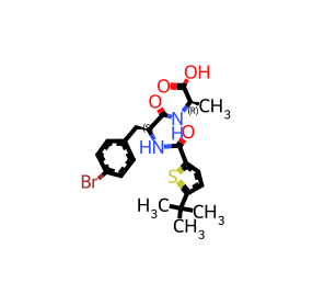 C[C@@H](NC(=O)[C@H](Cc1ccc(Br)cc1)NC(=O)c1ccc(C(C)(C)C)s1)C(=O)O